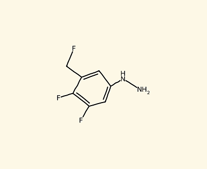 NNc1cc(F)c(F)c(CF)c1